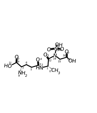 C[C@H](NC(=O)CC[C@H](N)C(=O)O)C(=O)N(CC(=O)O)S(=O)(=O)O